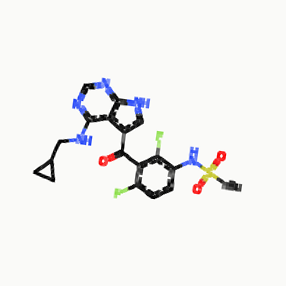 CCCCS(=O)(=O)Nc1ccc(F)c(C(=O)c2c[nH]c3ncnc(NCC4CC4)c23)c1F